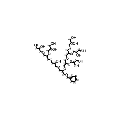 OCC(O)COCC(COCC(O)COCC(COCc1ccccc1)OCC(COCC(COCC(O)CO)OCC(O)CO)OCC(O)CO)OCC(O)CO